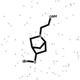 COCCN1CC2CC1CC2OC(C)(C)C